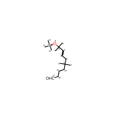 CC(C)(C/C=C/C(C)(C)O[Si](C)(C)C)CCCC=O